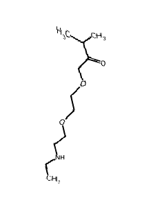 CCNCCOCCOCC(=O)C(C)C